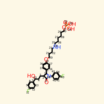 O=C1C(CCC(O)c2ccc(F)cc2)C(c2ccc(OCCCCNCCCCCCOP(=O)(O)O)cc2)N1c1ccc(F)cc1